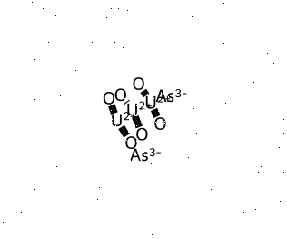 [As-3].[As-3].[O]=[U+2]=[O].[O]=[U+2]=[O].[O]=[U+2]=[O]